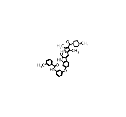 Cc1cccc(C(=O)Nc2cccc(Oc3ccc4c(c3)NC(=O)C4=Cc3[nH]c(C)c(C(=O)N4CCN(C)CC4)c3C)c2)c1